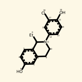 CCC1c2ccc(O)cc2CCN1c1ccc(O)c(Cl)c1